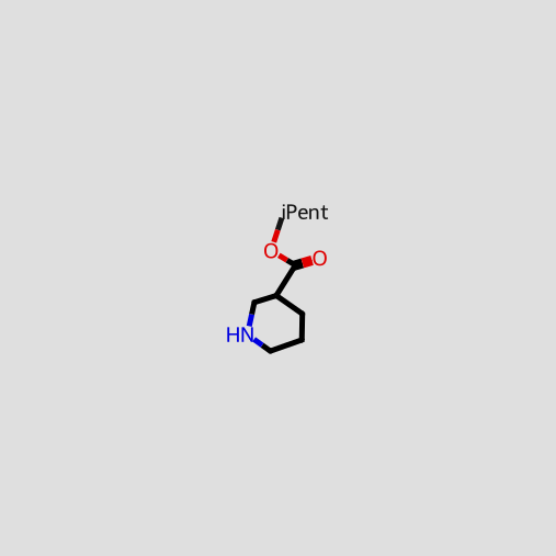 CCCC(C)OC(=O)C1CCCNC1